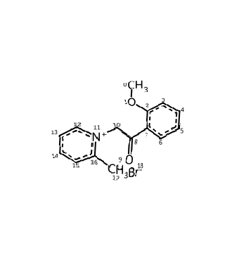 COc1ccccc1C(=O)C[n+]1ccccc1C.[Br-]